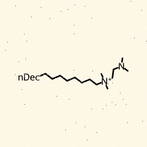 CCCCCCCCCCCCCCCCCC[N+](C)(C)CCN(C)C